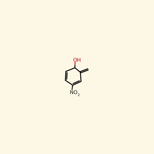 C=C1C=C([N+](=O)[O-])C=CC1O